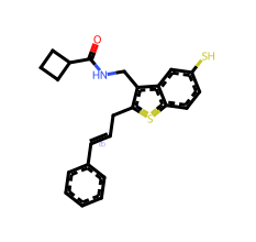 O=C(NCc1c(C/C=C/c2ccccc2)sc2ccc(S)cc12)C1CCC1